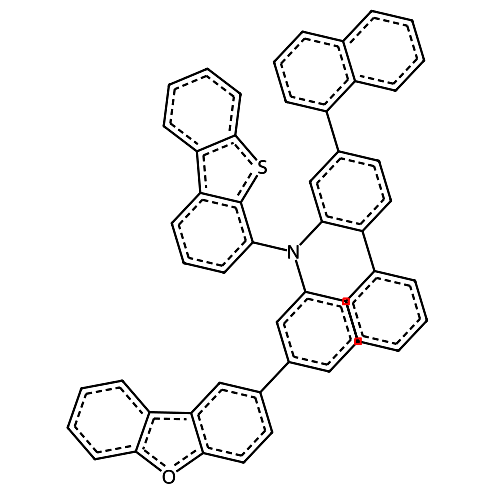 c1ccc(-c2ccc(-c3cccc4ccccc34)cc2N(c2cccc(-c3ccc4oc5ccccc5c4c3)c2)c2cccc3c2sc2ccccc23)cc1